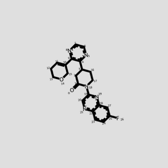 O=C1CC(c2nccnc2C2=CCCOC2)CCN1c1cnc2ccc(F)cc2n1